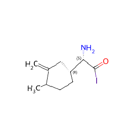 C=C1C[C@H]([C@H](N)C(=O)I)CCC1C